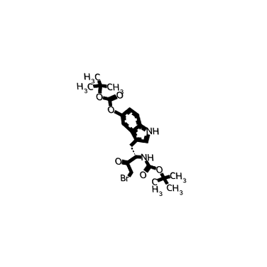 CC(C)(C)OC(=O)N[C@@H](Cc1c[nH]c2ccc(OC(=O)OC(C)(C)C)cc12)C(=O)CBr